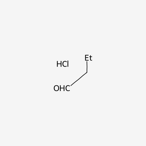 CCCC=O.Cl